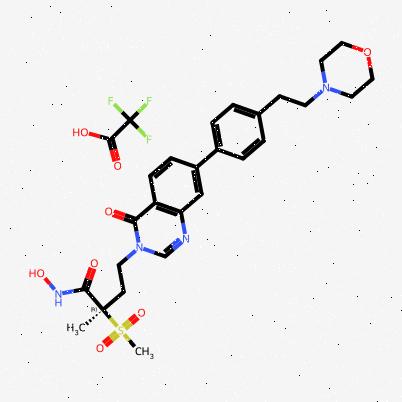 C[C@@](CCn1cnc2cc(-c3ccc(CCN4CCOCC4)cc3)ccc2c1=O)(C(=O)NO)S(C)(=O)=O.O=C(O)C(F)(F)F